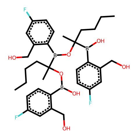 CCCCC(C)(OB(c1ccc(F)cc1CO)C(C)(CCCC)OB(O)c1ccc(F)cc1CO)B(O)c1ccc(F)cc1CO